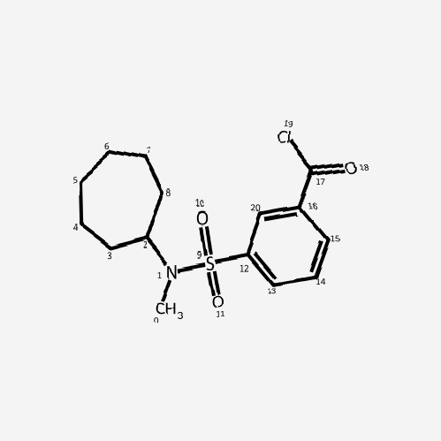 CN(C1CCCCCC1)S(=O)(=O)c1cccc(C(=O)Cl)c1